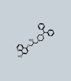 Oc1ccc(OCC(O)CN2CCN(C(c3ccccc3)c3ccccc3)CC2)c2cccnc12